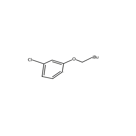 CCC(C)COc1[c]ccc(Cl)c1